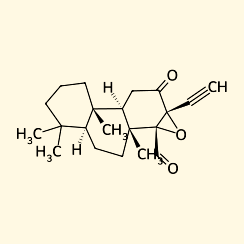 C#C[C@@]12O[C@]1(C=O)[C@]1(C)CC[C@H]3C(C)(C)CCC[C@]3(C)[C@H]1CC2=O